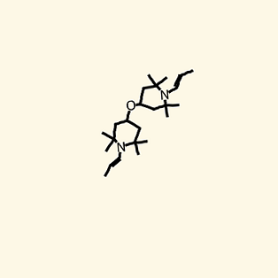 CC=CN1C(C)(C)CC(OC2CC(C)(C)N(C=CC)C(C)(C)C2)CC1(C)C